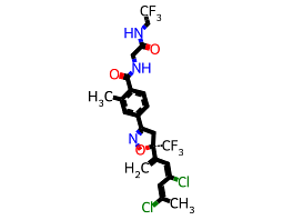 C=C(/C=C(Cl)\C=C(/C)Cl)[C@]1(C(F)(F)F)CC(c2ccc(C(=O)NCC(=O)NCC(F)(F)F)c(C)c2)=NO1